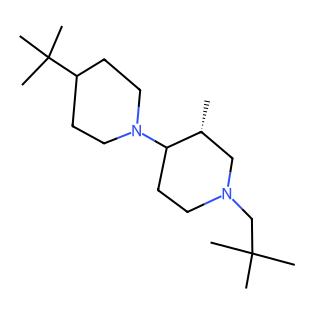 C[C@@H]1CN(CC(C)(C)C)CCC1N1CCC(C(C)(C)C)CC1